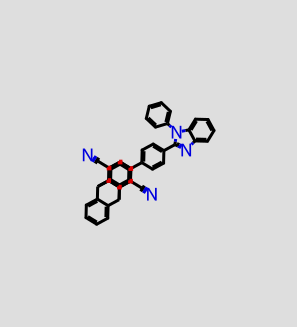 N#Cc1cccc2c1C1c3ccccc3C2c2c1ccc(-c1ccc(-c3nc4ccccc4n3-c3ccccc3)cc1)c2C#N